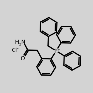 NC(=O)Cc1ccccc1[P+](Cc1ccccc1)(c1ccccc1)c1ccccc1.[Cl-]